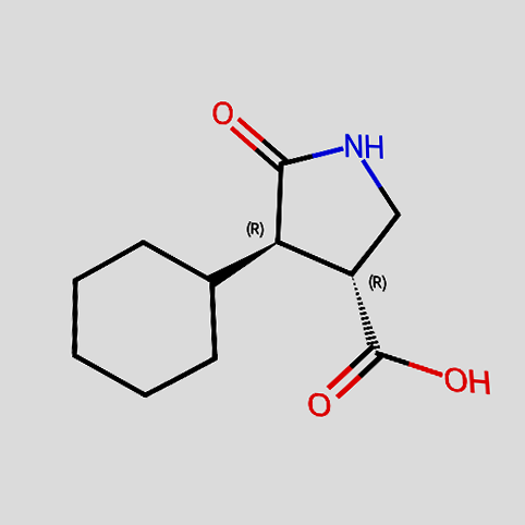 O=C(O)[C@H]1CNC(=O)[C@@H]1C1CCCCC1